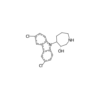 O[C@H]1CNCCCC1n1c2ccc(Cl)cc2c2cc(Cl)ccc21